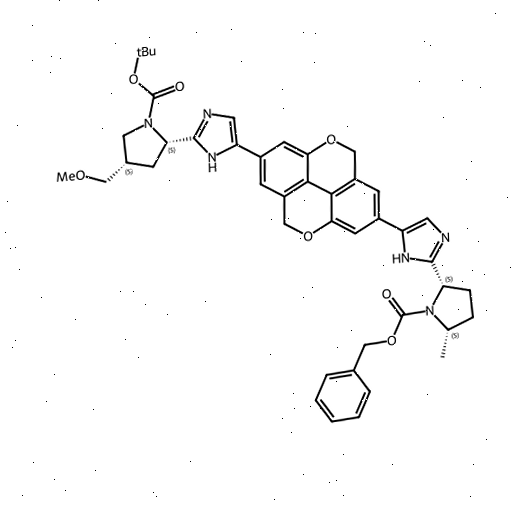 COC[C@H]1C[C@@H](c2ncc(-c3cc4c5c(c3)OCc3cc(-c6cnc([C@@H]7CC[C@H](C)N7C(=O)OCc7ccccc7)[nH]6)cc(c3-5)OC4)[nH]2)N(C(=O)OC(C)(C)C)C1